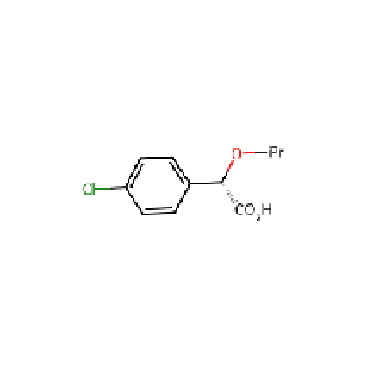 CC(C)O[C@H](C(=O)O)c1ccc(Cl)cc1